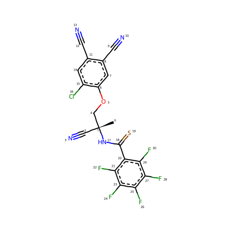 C[C@@](C#N)(COc1cc(C#N)c(C#N)cc1Cl)NC(=S)c1c(F)c(F)c(F)c(F)c1F